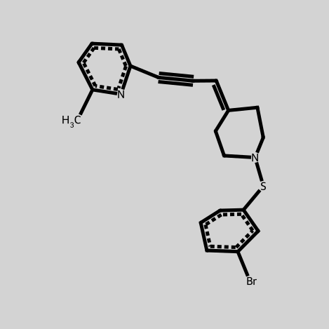 Cc1cccc(C#CC=C2CCN(Sc3cccc(Br)c3)CC2)n1